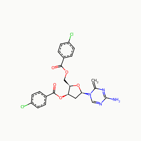 C=C1N=C(N)N=CN1[C@H]1C[C@@H](OC(=O)c2ccc(Cl)cc2)[C@@H](COC(=O)c2ccc(Cl)cc2)O1